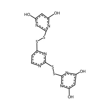 Oc1cc(O)nc(SSc2ccnc(SSc3nc(O)cc(O)n3)n2)n1